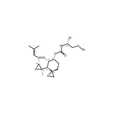 CO[C@@H]1[C@H](OC(=O)N[C@@H](COC(C)C)C(C)C)CC[C@]2(CO2)[C@H]1[C@@]1(C)O[C@@H]1CC=C(C)C